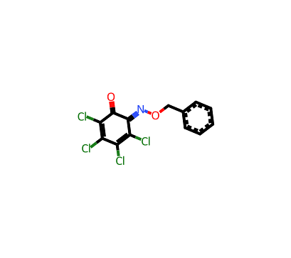 O=C1C(=NOCc2ccccc2)C(Cl)=C(Cl)C(Cl)=C1Cl